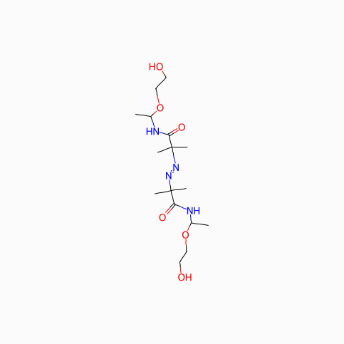 CC(NC(=O)C(C)(C)/N=N/C(C)(C)C(=O)NC(C)OCCO)OCCO